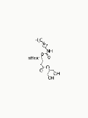 CCCCCCC(CCC(=O)OC(CO)CO)OC(=O)NC1CN(C)C1